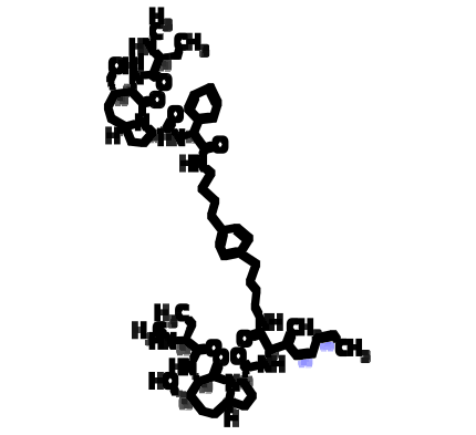 C=C(/C=C\C=C/C)[C@H](NC(=O)[C@@H]1CC[C@@H]2CC[C@H](CO)[C@H](NC(=O)[C@H](CC)NC)C(=O)N21)C(=O)NCCCCc1ccc(CCCCNC(=O)[C@@H](NC(=O)[C@@H]2CC[C@@H]3CC[C@H](CO)[C@H](NC(=O)[C@H](CC)NC)C(=O)N32)c2ccccc2)cc1